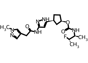 C[C@H](F)[C@H](C)NC(=O)O[C@@H]1CC[C@H](c2cc(NC(=O)Cc3cnn(C)c3)n[nH]2)C1